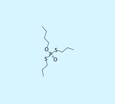 CCCCOP(=O)(SCCC)SCCC